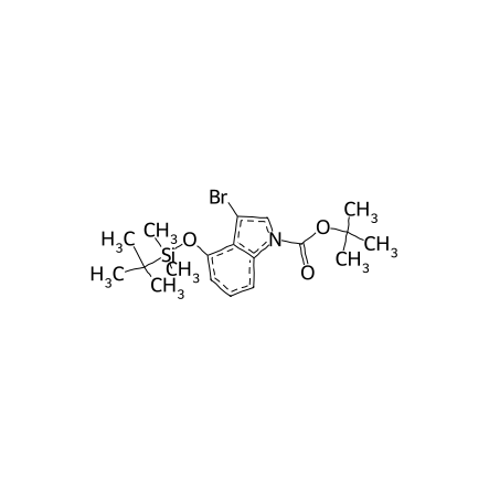 CC(C)(C)OC(=O)n1cc(Br)c2c(O[Si](C)(C)C(C)(C)C)cccc21